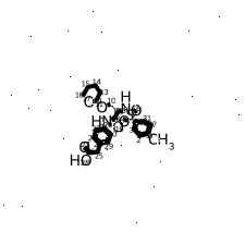 Cc1ccc(S(=O)(=O)N[C@@H](COC2CCCCO2)C(=O)Nc2ccc(CC(=O)O)cc2)cc1